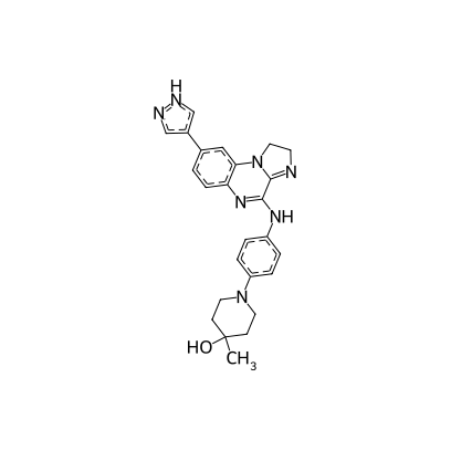 CC1(O)CCN(c2ccc(NC3=Nc4ccc(-c5cn[nH]c5)cc4N4CCN=C34)cc2)CC1